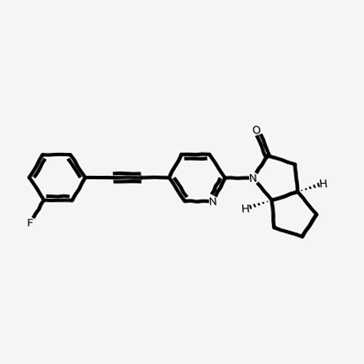 O=C1C[C@H]2CCC[C@H]2N1c1ccc(C#Cc2cccc(F)c2)cn1